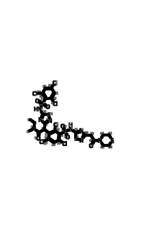 CCN(C)C(=O)C(c1nsc(NS(=O)(=O)c2c(Cl)cc(Cl)cc2Cl)n1)c1c(Cl)cc(Cl)c(S(=O)(=O)Nc2nc(CC(=O)N3CCSCC3)ns2)c1Cl